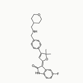 CC1(C)O/C(=C2/C(=O)Nc3ccc(F)cc32)C=C1c1ccc(CNCC2CCOCC2)cc1